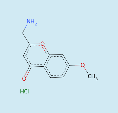 COc1ccc2c(=O)cc(CN)oc2c1.Cl